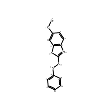 CCOc1ccc2nc(SSc3ccccc3)sc2c1